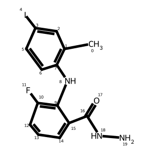 Cc1cc(I)ccc1Nc1c(F)cccc1C(=O)NN